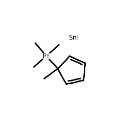 C[C]1([Pt]([CH3])([CH3])[CH3])C=CC=C1.[Sn]